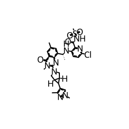 Cc1cc([C@@H](C)Nc2ccc(Cl)nc2C(=O)NS(C)(=O)=O)c2nc(N3C[C@@H]4C(c5cn(C)nc5C)[C@@H]4C3)n(C)c(=O)c2c1